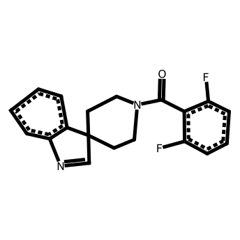 O=C(c1c(F)cccc1F)N1CCC2(C=Nc3ccccc32)CC1